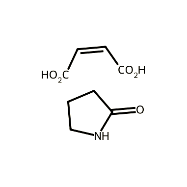 O=C(O)/C=C\C(=O)O.O=C1CCCN1